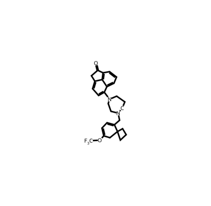 O=C1Cc2ccc(N3CCCN(CC4=CC=C(OC(F)(F)F)CC45CCC5)CC3)c3cccc1c23